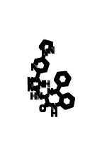 O=C1Nc2ccccc2C(c2ccccc2)=NC1Nc1nnc(-c2ccc(-n3cccn3)cn2)[nH]1